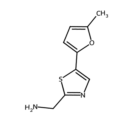 Cc1ccc(-c2cnc(CN)s2)o1